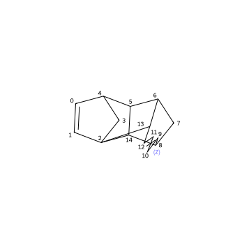 C1=CC23CC1C1C4CC(CC/C=C\C42)C13